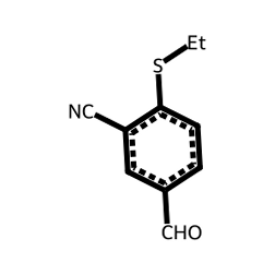 CCSc1ccc(C=O)cc1C#N